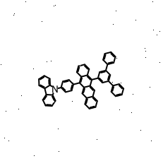 c1ccc(-c2cc(-c3ccccc3)cc(-c3c4ccccc4c(-c4ccc(-n5c6ccccc6c6ccccc65)cc4)c4cc5ccccc5cc34)c2)cc1